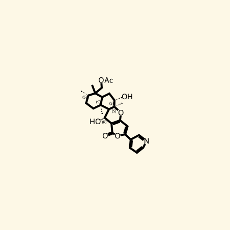 CC(=O)OCC1(C)C2C[C@H](O)[C@@]3(C)Oc4cc(-c5cccnc5)oc(=O)c4[C@H](O)C3[C@@]2(C)CC[C@@H]1C